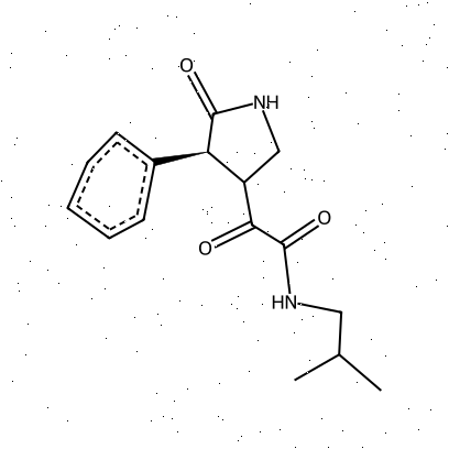 CC(C)CNC(=O)C(=O)C1CNC(=O)[C@@H]1c1ccccc1